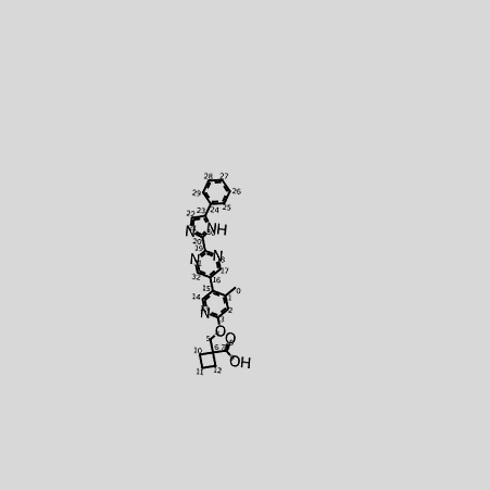 Cc1cc(OCC2(C(=O)O)CCC2)ncc1-c1cnc(-c2ncc(-c3ccccc3)[nH]2)nc1